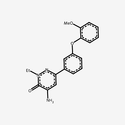 CCn1nc(-c2cccc(Oc3ccccc3OC)c2)cc(N)c1=O